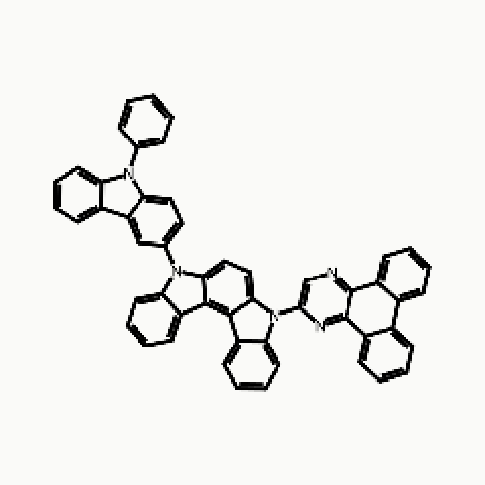 c1ccc(-n2c3ccccc3c3cc(-n4c5ccccc5c5c6c7ccccc7n(-c7cnc8c9ccccc9c9ccccc9c8n7)c6ccc54)ccc32)cc1